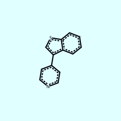 [c]1ccc2c(-c3ccncc3)csc2c1